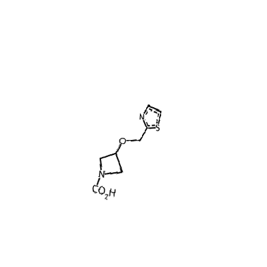 O=C(O)N1CC(OCc2nccs2)C1